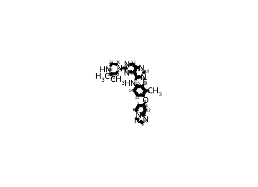 Cc1c(Oc2ccn3ncnc3c2)ccc(Nc2ncnc3cnc(N4CCNC(C)(C)C4)nc23)c1F